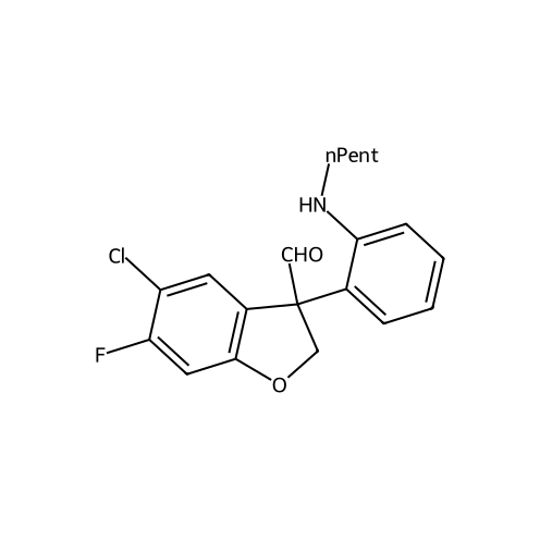 CCCCCNc1ccccc1C1(C=O)COc2cc(F)c(Cl)cc21